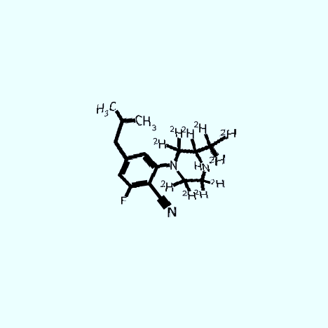 [2H]C([2H])([2H])C1([2H])NC([2H])([2H])C([2H])([2H])N(c2cc(CC(C)C)cc(F)c2C#N)C1([2H])[2H]